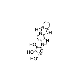 OC[C@H]1O[C@@H](n2cnc3c(N[C@H]4CCCC[C@H]4O)ncnc32)[C@H](O)[C@@H]1O